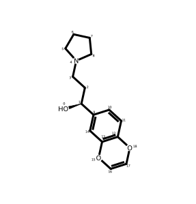 O[C@@H](CCN1CCCC1)c1ccc2c(c1)OC=CO2